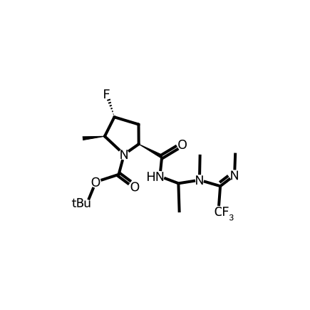 C/N=C(\N(C)C(C)NC(=O)[C@@H]1C[C@@H](F)[C@H](C)N1C(=O)OC(C)(C)C)C(F)(F)F